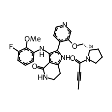 CC#CC(=O)N1CCC[C@H]1COc1cnccc1-c1[nH]c2c(c1Nc1cccc(F)c1OC)C(=O)NCC2